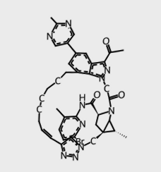 CC(=O)c1nn2c3c(cc(-c4cnc(C)nc4)cc13)CCCCCC/C=C\c1cn(nn1)C[C@@]13C[C@@H](C(=O)Nc4nc(Br)ccc4C)N(C(=O)C2)C1[C@@H]3C